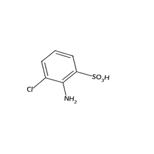 Nc1c(Cl)cccc1S(=O)(=O)O